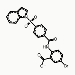 O=C(Nc1ccc(Br)cc1C(=O)O)c1ccc(S(=O)(=O)n2ccc3ccccc32)cc1